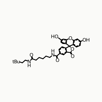 CC(C)(C)CCNC(=O)CCCCCNC(=O)c1ccc2c(c1)C(=O)OC21c2ccc(O)cc2Oc2cc(O)ccc21